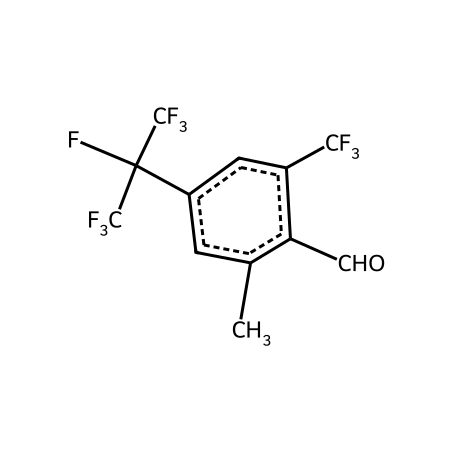 Cc1cc(C(F)(C(F)(F)F)C(F)(F)F)cc(C(F)(F)F)c1C=O